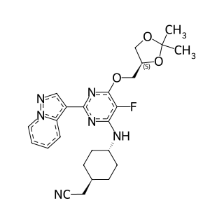 CC1(C)OC[C@H](COc2nc(-c3cnn4ccccc34)nc(N[C@H]3CC[C@H](CC#N)CC3)c2F)O1